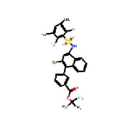 Cc1cc(C)c(C)c(S(=O)(=O)Nc2cc(Br)c(-c3cccc(C(=O)OC(C)(C)C)c3)c3ccccc23)c1C